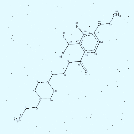 CCCC1CCC(CCCC(=O)c2ccc(OCC)c(F)c2C(F)F)CC1